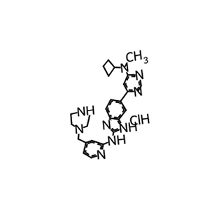 CN(c1cc(-c2ccc3nc(Nc4cc(CN5CCNCC5)ccn4)[nH]c3c2)ncn1)C1CCC1.Cl